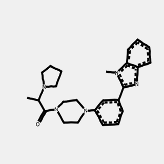 CC(C(=O)N1CCN(c2cccc(-c3nc4ccccc4n3C)c2)CC1)N1CCCC1